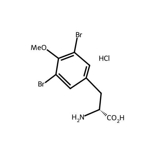 COc1c(Br)cc(C[C@@H](N)C(=O)O)cc1Br.Cl